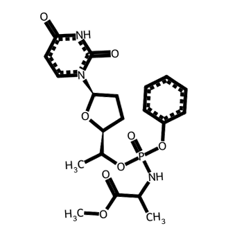 COC(=O)C(C)NP(=O)(Oc1ccccc1)OC(C)[C@@H]1CC[C@H](n2ccc(=O)[nH]c2=O)O1